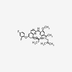 CCC(=O)Nc1cc(Nc2ncc3c(n2)N(C)CC(Oc2ccc(F)cc2F)=C3)c(OC)cc1N(C)CCN(C)C